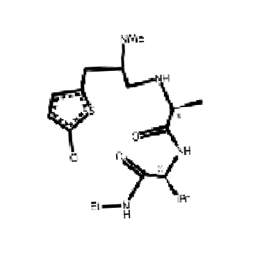 CCNC(=O)[C@@H](NC(=O)[C@H](C)NCC(Cc1ccc(Cl)s1)NC)C(C)C